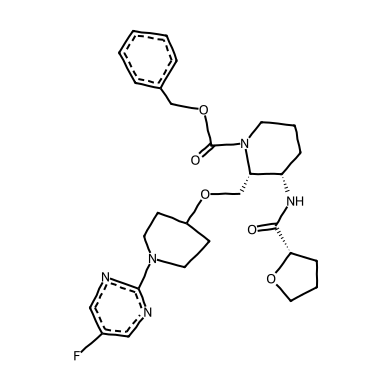 O=C(N[C@H]1CCCN(C(=O)OCc2ccccc2)[C@H]1COC1CCN(c2ncc(F)cn2)CC1)[C@@H]1CCCO1